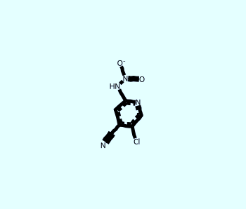 N#Cc1cc(N[N+](=O)[O-])ncc1Cl